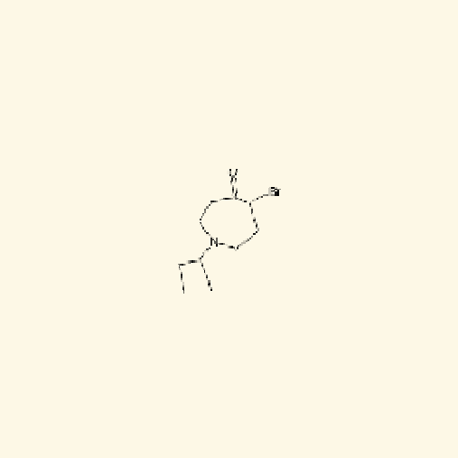 O=C1CCN(C2CCC2)CCC1Br